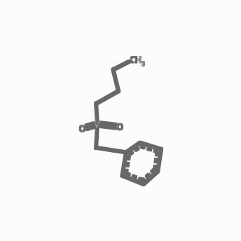 CCCCS(=O)(=O)Cc1ccccc1